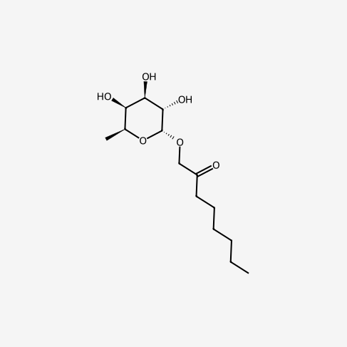 CCCCCCC(=O)CO[C@@H]1O[C@@H](C)[C@@H](O)[C@@H](O)[C@@H]1O